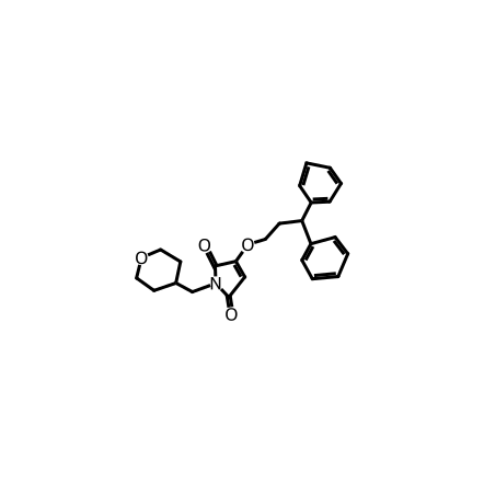 O=C1C=C(OCCC(c2ccccc2)c2ccccc2)C(=O)N1CC1CCOCC1